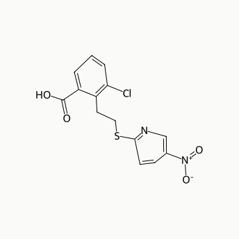 O=C(O)c1cccc(Cl)c1CCSc1ccc([N+](=O)[O-])cn1